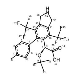 Cc1ccc(-c2c([C@H](OC(C)(C)C)C(=O)O)c(C(F)(F)F)c3c(c2C(F)(F)F)CNC3)cc1